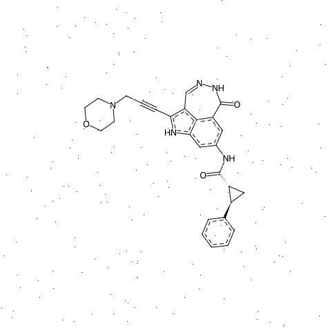 O=C1NN=Cc2c(C#CCN3CCOCC3)[nH]c3cc(NC(=O)[C@@H]4C[C@H]4c4ccccc4)cc1c23